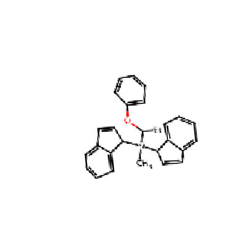 CCC(Oc1ccccc1)[Si](C)(C1C=Cc2ccccc21)C1C=Cc2ccccc21